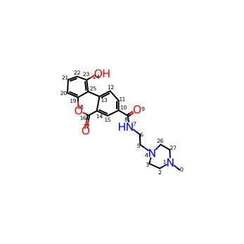 CN1CCN(CCNC(=O)c2ccc3c(c2)c(=O)oc2cccc(O)c23)CC1